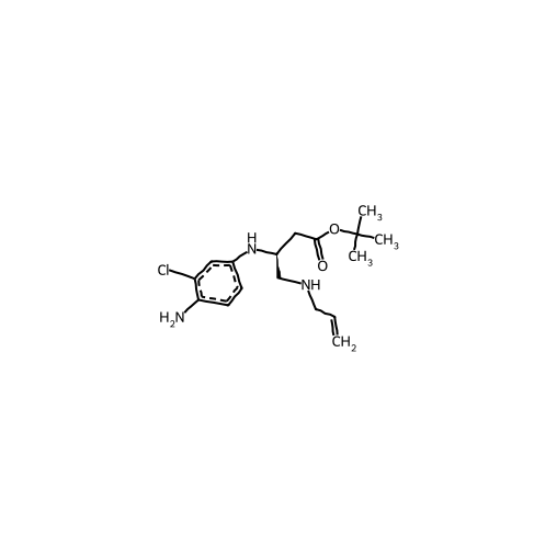 C=CCNC[C@H](CC(=O)OC(C)(C)C)Nc1ccc(N)c(Cl)c1